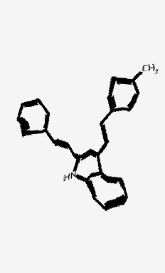 Cc1ccc(/C=C/c2c(/C=C/c3ccccc3)[nH]c3ccccc23)cc1